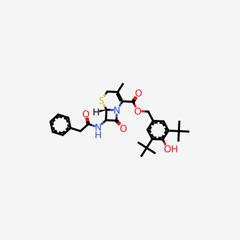 CC1=C(C(=O)OCc2cc(C(C)(C)C)c(O)c(C(C)(C)C)c2)N2C(=O)C(NC(=O)Cc3ccccc3)[C@@H]2SC1